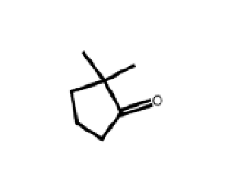 CC1(C)CCCC1=O